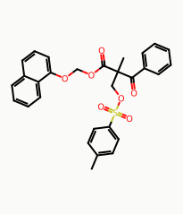 Cc1ccc(S(=O)(=O)OCC(C)(C(=O)OCOc2cccc3ccccc23)C(=O)c2ccccc2)cc1